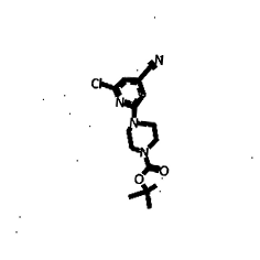 CC(C)(C)OC(=O)N1CCN(c2cc(C#N)cc(Cl)n2)CC1